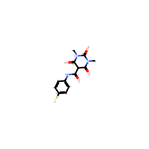 CN1C(=O)C(C(=O)Nc2ccc(F)cc2)C(=O)N(C)C1=O